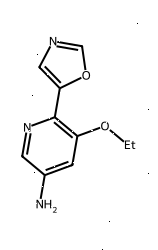 CCOc1cc(N)cnc1-c1cnco1